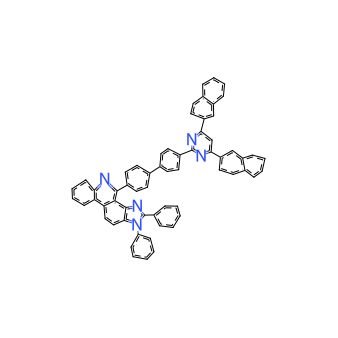 c1ccc(-c2nc3c4c(-c5ccc(-c6ccc(-c7nc(-c8ccc9ccccc9c8)cc(-c8ccc9ccccc9c8)n7)cc6)cc5)nc5ccccc5c4ccc3n2-c2ccccc2)cc1